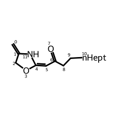 C=C1CO/C(=C/C(=O)CCCCCCCCC)N1